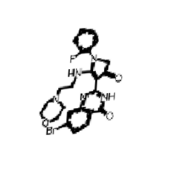 O=C1CN(c2ccccc2F)C(NCCN2CCOCC2)=C1c1nc2cc(Br)ccc2c(=O)[nH]1